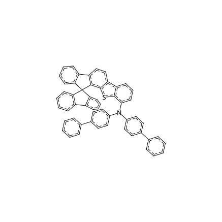 c1ccc(-c2ccc(N(c3ccc(-c4ccccc4)cc3)c3cccc4c3sc3c5c(ccc34)-c3ccccc3C53c4ccccc4-c4ccccc43)cc2)cc1